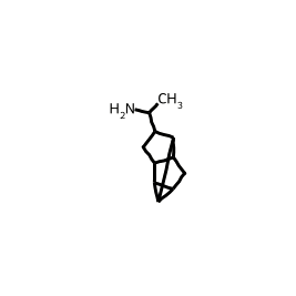 CC(N)C1CC2C3CC4C2C4C13